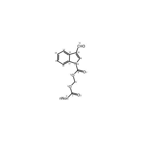 CCCCCCCCCC(=O)OCOC(=O)n1cc(C=O)c2ccccc21